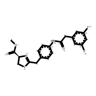 COC(=O)[C@@H]1CSC(Cc2ccc(NC(=O)Cc3cc(F)cc(F)c3)cc2)=N1